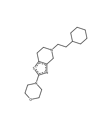 C1CCC(CCN2CCc3sc(N4CCOCC4)nc3C2)CC1